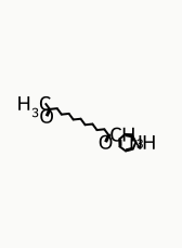 C1=CC=CNC=C1.CC(=O)CCCCCCCCCC(C)=O